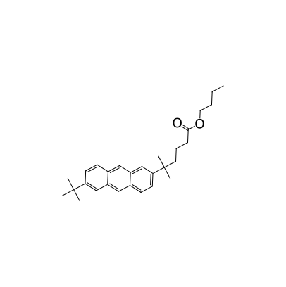 CCCCOC(=O)CCCC(C)(C)c1ccc2cc3cc(C(C)(C)C)ccc3cc2c1